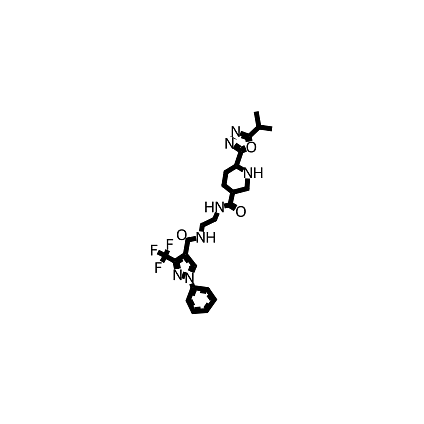 CC(C)c1nnc(C2CCC(C(=O)NCCNC(=O)c3cn(-c4ccccc4)nc3C(F)(F)F)CN2)o1